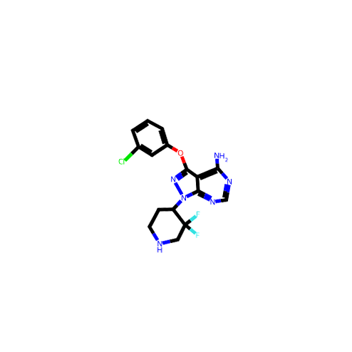 Nc1ncnc2c1c(Oc1cccc(Cl)c1)nn2C1CCNCC1(F)F